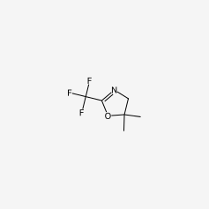 CC1(C)CN=C(C(F)(F)F)O1